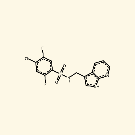 O=S(=O)(NCc1c[nH]c2ncccc12)c1cc(F)c(Cl)cc1F